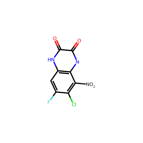 O=C1[N]c2c(cc(F)c(Cl)c2[N+](=O)[O-])NC1=O